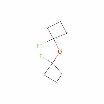 FC1(OC2(F)CCC2)CCC1